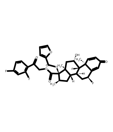 C[C@@H]1C[C@H]2[C@@H]3C[C@H](F)C4=CC(=O)C=C[C@]4(C)[C@@]3(F)[C@@H](O)C[C@]2(C)[C@@]1(OC(=O)c1ccco1)C(=O)OCC(=O)c1ccc(F)cc1F